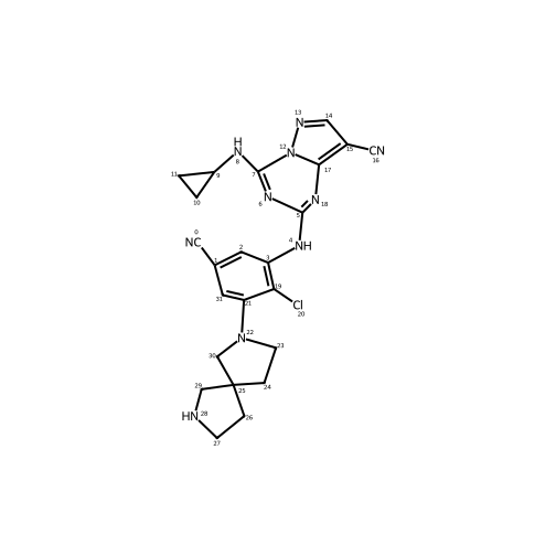 N#Cc1cc(Nc2nc(NC3CC3)n3ncc(C#N)c3n2)c(Cl)c(N2CCC3(CCNC3)C2)c1